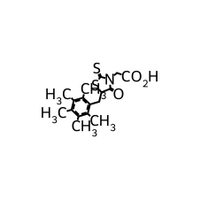 Cc1c(C)c(C)c(CC2SC(=S)N(CC(=O)O)C2=O)c(C)c1C